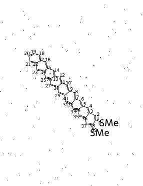 CSc1cc2cc3cc4cc5cc6cc7cc8cc9ccccc9cc8cc7cc6cc5cc4cc3cc2cc1SC